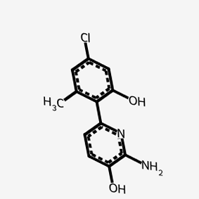 Cc1cc(Cl)cc(O)c1-c1ccc(O)c(N)n1